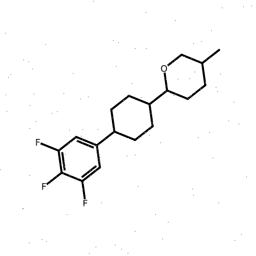 CC1CCC(C2CCC(c3cc(F)c(F)c(F)c3)CC2)OC1